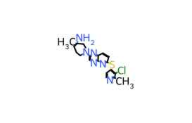 Cc1nccc(Sc2ccc3nc(N4CCC[C@@](C)(N)CC4)cnc3n2)c1Cl